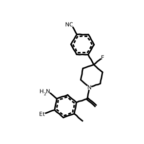 C=C(c1cc(N)c(CC)cc1C)N1CCC(F)(c2ccc(C#N)cc2)CC1